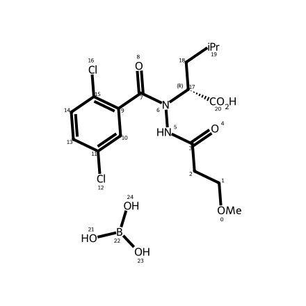 COCCC(=O)NN(C(=O)c1cc(Cl)ccc1Cl)[C@H](CC(C)C)C(=O)O.OB(O)O